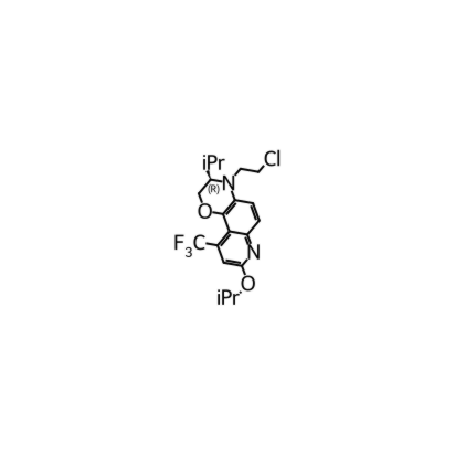 CC(C)Oc1cc(C(F)(F)F)c2c3c(ccc2n1)N(CCCl)[C@H](C(C)C)CO3